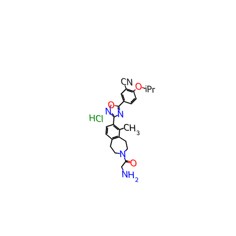 Cc1c(-c2noc(-c3ccc(OC(C)C)c(C#N)c3)n2)ccc2c1CCN(C(=O)CN)CC2.Cl